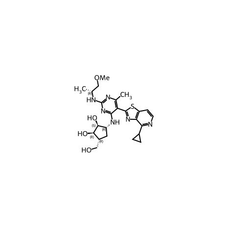 COC[C@@H](C)Nc1nc(C)c(-c2nc3c(C4CC4)nccc3s2)c(N[C@@H]2C[C@H](CO)[C@@H](O)[C@H]2O)n1